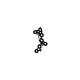 CC1(C)c2ccccc2-c2ccc(-n3c4ccccc4c4cc(-c5ccc6c7cccc8c9ccccc9n(c6n5)c87)ccc43)cc21